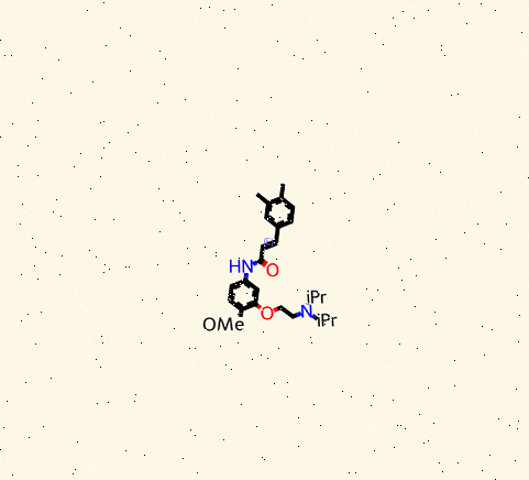 COc1ccc(NC(=O)/C=C/c2ccc(C)c(C)c2)cc1OCCN(C(C)C)C(C)C